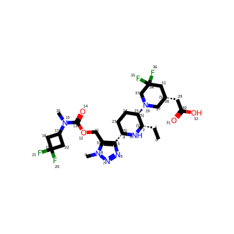 CC[C@@H]1N[C@H](c2nnn(C)c2COC(=O)N(C)C2CC(F)(F)C2)CC[C@@H]1N1C[C@@H](CC(=O)O)CC(F)(F)C1